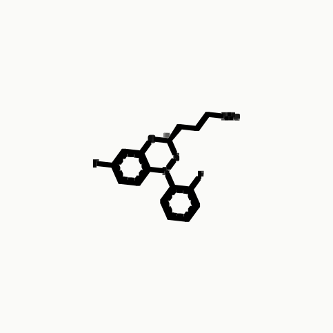 CNCCC[C@@H]1Oc2cc(F)ccc2N(c2ccccc2F)S1